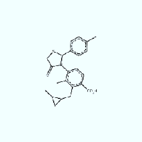 Cc1c(N2C(=O)CSC2c2ccc(F)cc2)ccc(C(=O)O)c1CC1CC1C